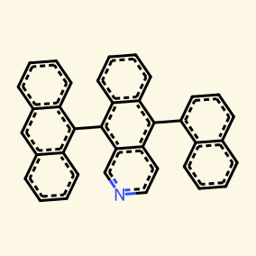 c1ccc2c(-c3c4ccccc4c(-c4c5ccccc5cc5ccccc45)c4cnccc34)cccc2c1